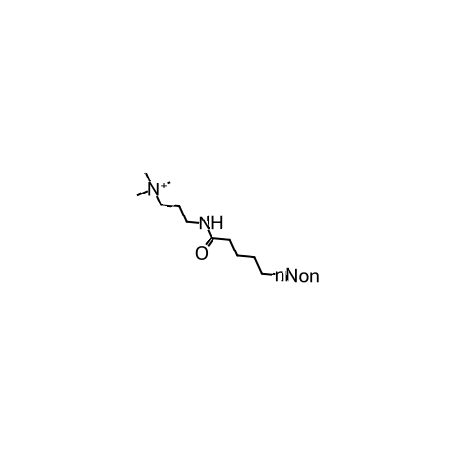 CCCCCCCCCCCCCC(=O)NCCC[N+](C)(C)C